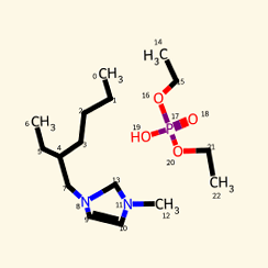 CCCCC(CC)CN1C=CN(C)C1.CCOP(=O)(O)OCC